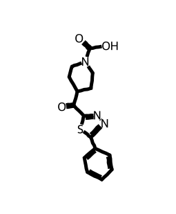 O=C(c1nnc(-c2ccccc2)s1)C1CCN(C(=O)O)CC1